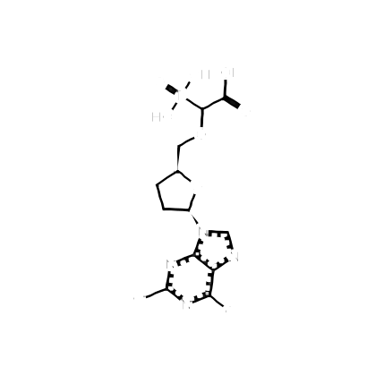 O=C(O)C(OC[C@@H]1CC[C@H](n2cnc3c(Cl)nc(Cl)nc32)O1)P(=O)(O)O